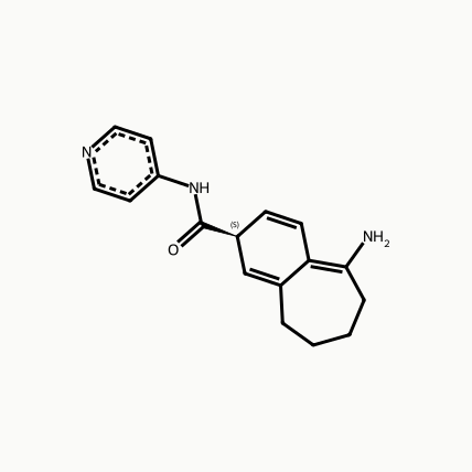 NC1=C2C=C[C@H](C(=O)Nc3ccncc3)C=C2CCCC1